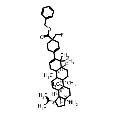 C=C(C)[C@@H]1CC[C@]2(N)CC[C@]3(C)[C@H](CCC4[C@@]5(C)CC=C(C6=CCC(CF)(C(=O)OCc7ccccc7)CC6)C(C)(C)[C@@H]5CC[C@]43C)[C@@H]12